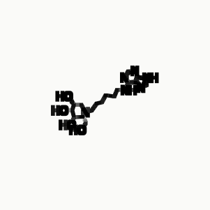 OC[C@@H]1[C@@H](O)[C@H](O)[C@@H](O)CN1CCCCCCNc1ncnc2[nH]cnc12